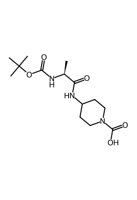 C[C@H](NC(=O)OC(C)(C)C)C(=O)NC1CCN(C(=O)O)CC1